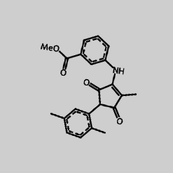 COC(=O)c1cccc(NC2=C(C)C(=O)C(c3cc(C)ccc3C)C2=O)c1